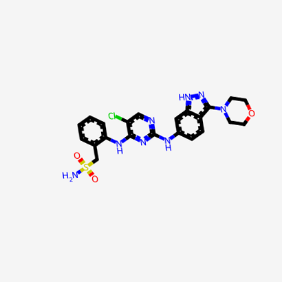 NS(=O)(=O)Cc1ccccc1Nc1nc(Nc2ccc3c(N4CCOCC4)n[nH]c3c2)ncc1Cl